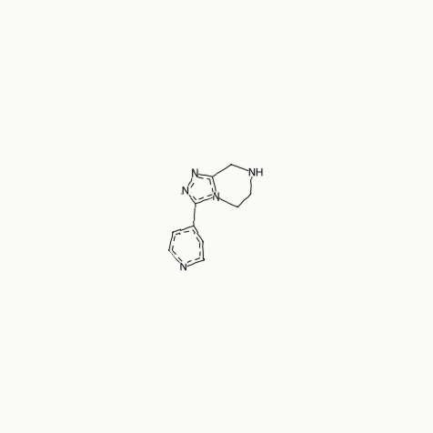 c1cc(-c2nnc3n2CCNC3)ccn1